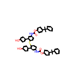 CC(C)(c1ccccc1)c1ccc(OC(=O)Nc2ccc(Sc3ccc(NC(=O)Oc4ccc(C(C)(C)c5ccccc5)cc4)cc3-c3ccc(O)cc3)c(-c3ccc(O)cc3)c2)cc1